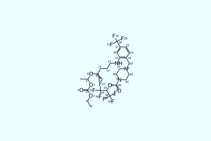 CCOC(=O)OC(C)OC(=O)CCCNc1cc(C(F)(F)F)ccc1CN1CCN(C(=O)OC(C(F)(F)F)C(F)(F)F)CC1